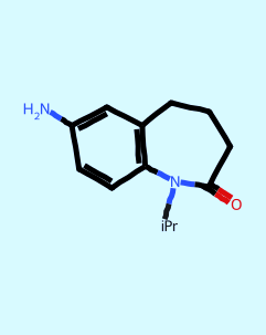 CC(C)N1C(=O)CCCc2cc(N)ccc21